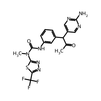 CC(=O)C(c1cnc(N)nc1)c1cccc(NC(=O)N(C)c2nnc(C(F)(F)F)s2)c1